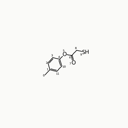 Cc1ccc(OC(=O)CS)cc1